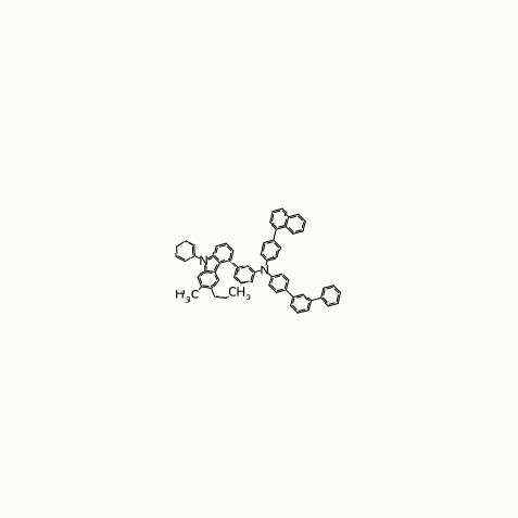 C/C=C\c1cc2c3c(-c4cccc(N(c5ccc(-c6cccc(-c7ccccc7)c6)cc5)c5ccc(-c6cccc7ccccc67)cc5)c4)cccc3n(C3=CCCC=C3)c2cc1C